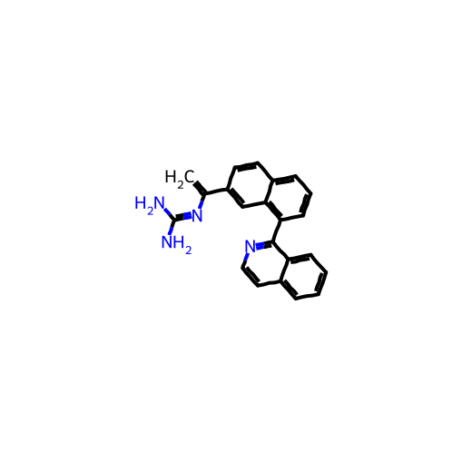 C=C(N=C(N)N)c1ccc2cccc(-c3nccc4ccccc34)c2c1